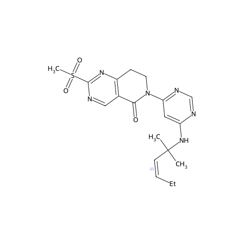 CC/C=C\C(C)(C)Nc1cc(N2CCc3nc(S(C)(=O)=O)ncc3C2=O)ncn1